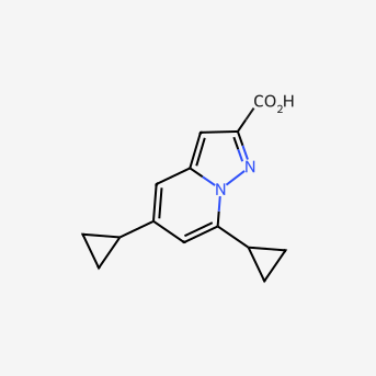 O=C(O)c1cc2cc(C3CC3)cc(C3CC3)n2n1